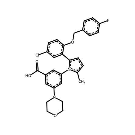 Cc1ccc(-c2cc(Cl)ccc2OCc2ccc(F)cc2)n1-c1cc(C(=O)O)cc(N2CCOCC2)c1